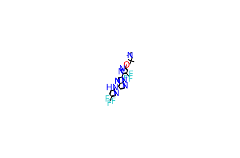 CN(C)CC(C)(C)COc1cc(C(F)(F)F)c(-c2cnc3c(Nc4ccc(C(F)(F)F)cn4)ccnc3n2)nn1